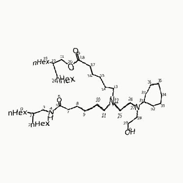 CCCCCCC(CCCCCC)CNC(=O)CCCCCN(CCCCCC(=O)OCC(CCCCCC)CCCCCC)CCN(CCO)C1CCCCCC1